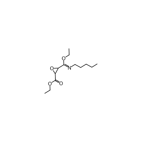 CCCCCN=C(OCC)C1OC1C(=O)OCC